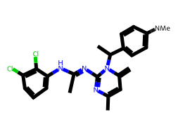 C=C1C=C(C)N=C(/N=C(\C)Nc2cccc(Cl)c2Cl)N1C(C)c1ccc(NC)cc1